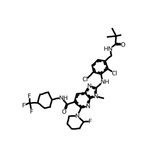 Cn1c(Nc2c(Cl)ccc(CNC(=O)C(C)(C)C)c2Cl)nc2cc(C(=O)NC3CCC(C(F)(F)F)CC3)c(N3CCCCC3F)nc21